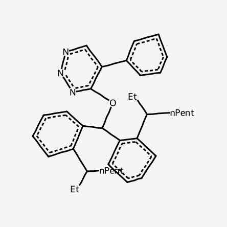 CCCCCC(CC)c1ccccc1C(Oc1nnncc1-c1ccccc1)c1ccccc1C(CC)CCCCC